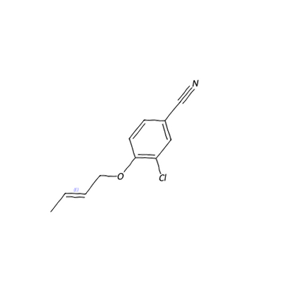 C/C=C/COc1ccc(C#N)cc1Cl